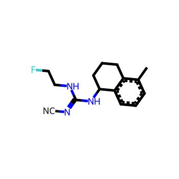 Cc1cccc2c1CCCC2NC(=NC#N)NCCF